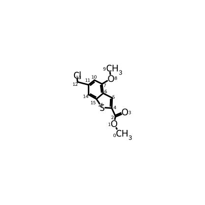 COC(=O)c1cc2c(OC)cc(CCl)cc2s1